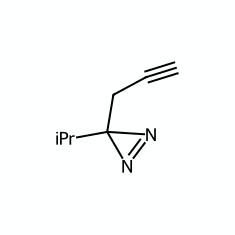 C#CCC1(C(C)C)N=N1